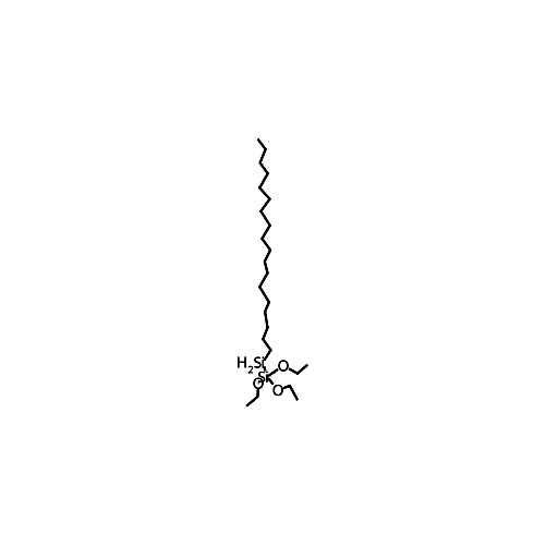 CCCCCCCCCCCCCCCCCC[SiH2][Si](OCC)(OCC)OCC